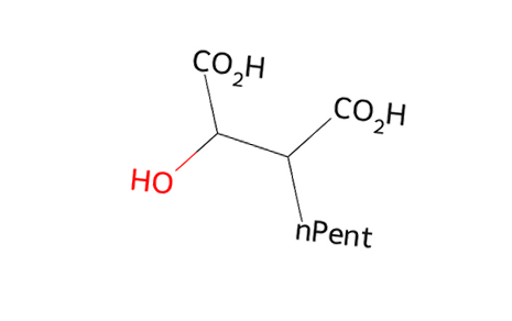 CCCCCC(C(=O)O)C(O)C(=O)O